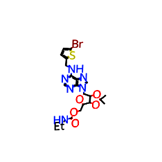 CCNC(=O)OCC1OC(n2cnc3c(NCc4ccc(Br)s4)ncnc32)C2OC(C)(C)OC12